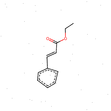 CCOC(=O)/C=C/c1c[c]ccc1